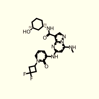 CNc1cc(Nc2cccn(C3CC(F)(F)C3)c2=O)nc2c(C(=O)N[C@H]3CCC[C@H](O)C3)cnn12